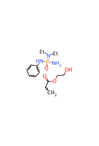 C=CC(=O)OCCO.CCN(CC)P(N)(=O)Nc1ccccc1